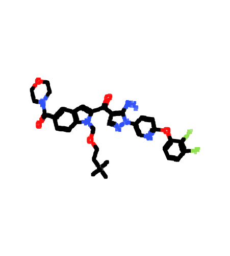 C[Si](C)(C)CCOCn1c(C(=O)c2cnn(-c3ccc(Oc4cccc(F)c4F)nc3)c2N)cc2cc(C(=O)N3CCOCC3)ccc21